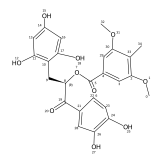 COc1cc(C(=O)O[C@H](Cc2c(O)cc(O)cc2O)C(=O)c2ccc(O)c(O)c2)cc(OC)c1C